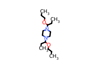 CCCOC(CC)N1CCN(C(CC)OCCC)CC1